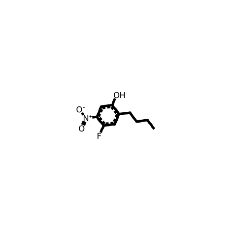 CCCCc1cc(F)c([N+](=O)[O-])cc1O